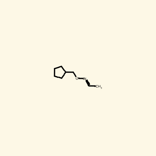 C/C=N/OCC1CCCC1